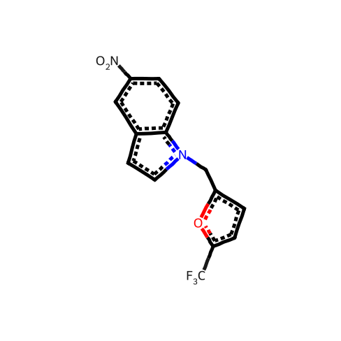 O=[N+]([O-])c1ccc2c(ccn2Cc2ccc(C(F)(F)F)o2)c1